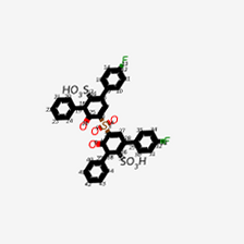 O=C1C(S(=O)(=O)C2=CC(c3ccc(F)cc3)=C(S(=O)(=O)O)C(c3ccccc3)C2=O)=CC(c2ccc(F)cc2)=C(S(=O)(=O)O)C1c1ccccc1